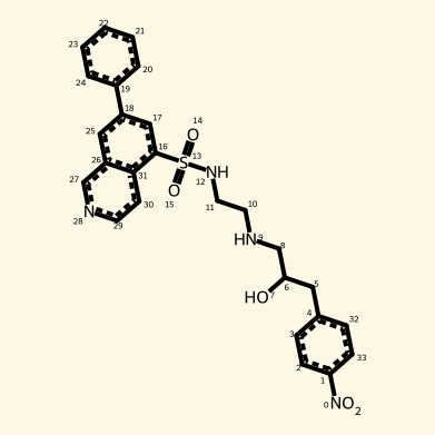 O=[N+]([O-])c1ccc(CC(O)CNCCNS(=O)(=O)c2cc(-c3ccccc3)cc3cnccc23)cc1